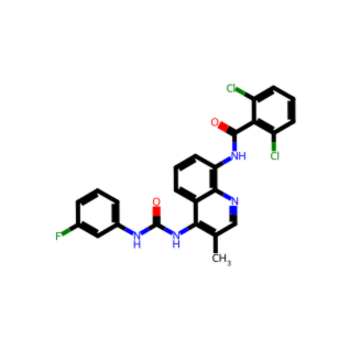 Cc1cnc2c(NC(=O)c3c(Cl)cccc3Cl)cccc2c1NC(=O)Nc1cccc(F)c1